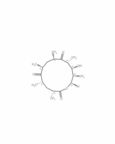 CC[C@H]1OC(=O)[C@H](C)C[C@H](C)C(=O)[C@@H](C)C[C@@H](C)C(=O)[C@H](C)[C@@H](O)[C@H]1C